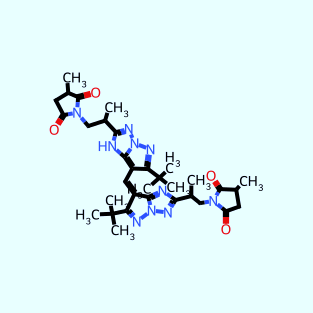 CC1CC(=O)N(CC(C)c2nc3c(=Cc4c(C(C)(C)C)nn5nc(C(C)CN6C(=O)CC(C)C6=O)[nH]c45)c(C(C)(C)C)nn3n2)C1=O